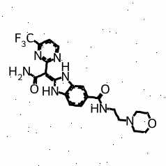 NC(=O)/C(=C1\Nc2ccc(C(=O)NCCN3CCOCC3)cc2N1)c1nccc(C(F)(F)F)n1